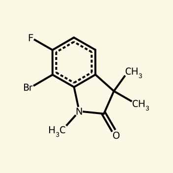 CN1C(=O)C(C)(C)c2ccc(F)c(Br)c21